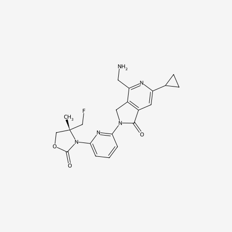 C[C@]1(CF)COC(=O)N1c1cccc(N2Cc3c(cc(C4CC4)nc3CN)C2=O)n1